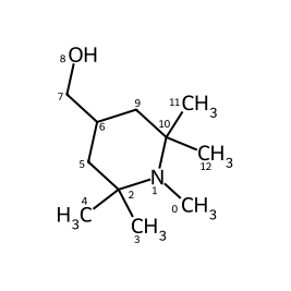 CN1C(C)(C)CC(CO)CC1(C)C